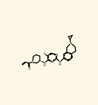 C=CC(=O)N1CCC[C@@H](Nc2nc(Nc3ccc4c(c3)CN(C3CC3)CC4)ncc2F)C1